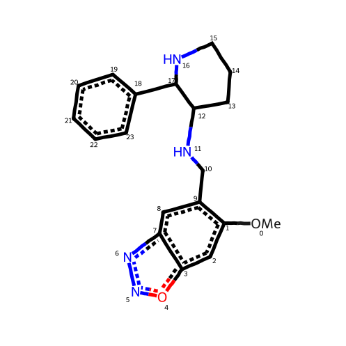 COc1cc2onnc2cc1CNC1CCCNC1c1ccccc1